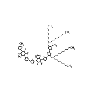 CCCCCCCCCCC(CCCCCCCC)Cc1cc(-c2cc(CC(CCCCCCCC)CCCCCCCCCC)c(-c3ccc(-c4c(F)c(F)c(-c5ccc(-c6ccc(-c7c(F)c(F)c(-c8ccc(C)s8)c8nsnc78)s6)s5)c5nsnc45)s3)s2)sc1C